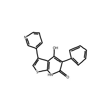 O=c1[nH]c2scc(-c3cccnc3)c2c(O)c1-c1ccccc1